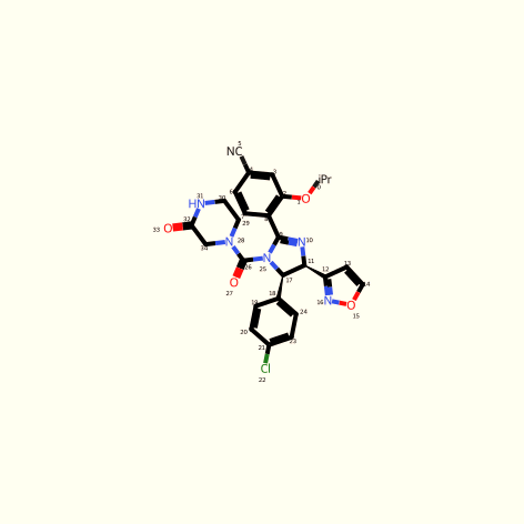 CC(C)Oc1cc(C#N)ccc1C1=N[C@@H](c2ccon2)[C@@H](c2ccc(Cl)cc2)N1C(=O)N1CCNC(=O)C1